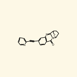 O=c1c2ccc(C#Cc3ccccn3)cc2nc2n1C1CCC2CC1